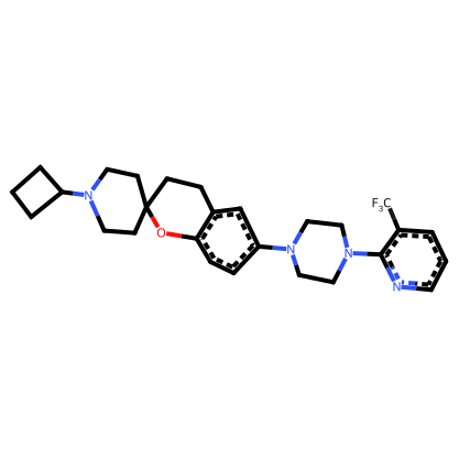 FC(F)(F)c1cccnc1N1CCN(c2ccc3c(c2)CCC2(CCN(C4CCC4)CC2)O3)CC1